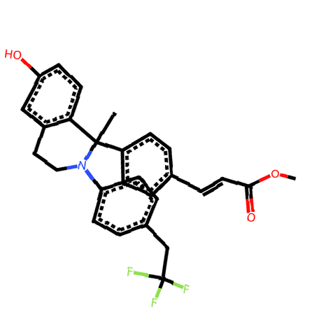 COC(=O)/C=C/c1ccc(C2(C)c3ccc(O)cc3CCN2c2ccc(CC(F)(F)F)cc2)cc1